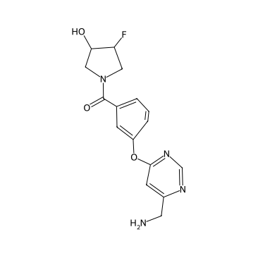 NCc1cc(Oc2cccc(C(=O)N3CC(O)C(F)C3)c2)ncn1